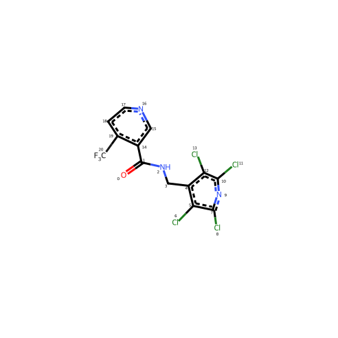 O=C(NCc1c(Cl)c(Cl)nc(Cl)c1Cl)c1cnccc1C(F)(F)F